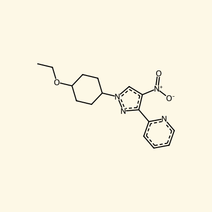 CCOC1CCC(n2cc([N+](=O)[O-])c(-c3ccccn3)n2)CC1